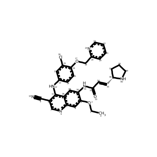 CCOc1cc2ncc(C#N)c(Nc3ccc(OCc4ccccn4)c(Cl)c3)c2cc1NC(=O)C=C[C@@H]1CCCN1